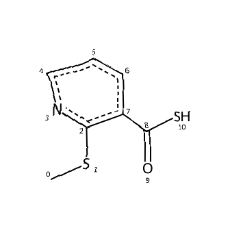 CSc1ncccc1C(=O)S